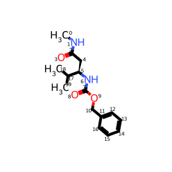 CNC(=O)C[C@@H](NC(=O)OCc1ccccc1)C(C)C